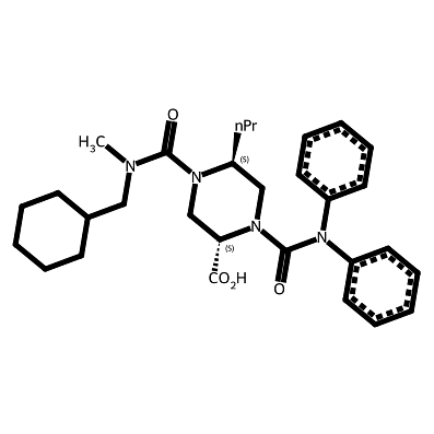 CCC[C@H]1CN(C(=O)N(c2ccccc2)c2ccccc2)[C@H](C(=O)O)CN1C(=O)N(C)CC1CCCCC1